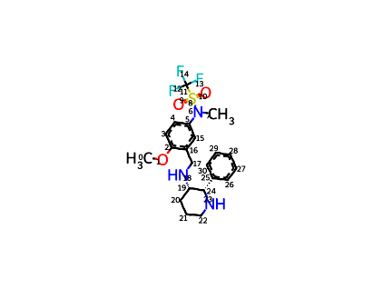 COc1ccc(N(C)S(=O)(=O)C(F)(F)F)cc1CN[C@H]1CCCN[C@H]1c1ccccc1